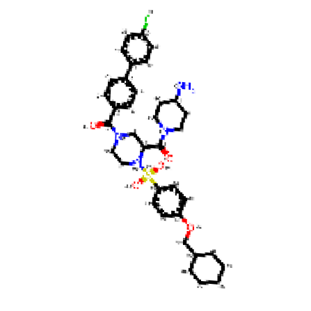 NC1CCN(C(=O)C2CN(C(=O)c3ccc(-c4ccc(Cl)cc4)cc3)CCN2S(=O)(=O)c2ccc(OCC3CCCCC3)cc2)CC1